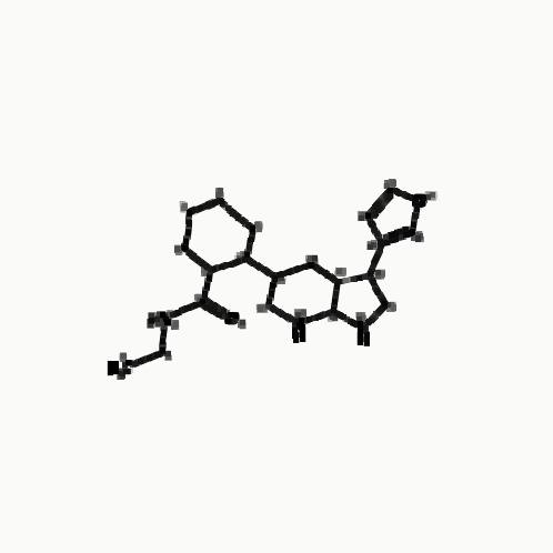 CCNC(=O)C1CCCCC1C1CNC2NCC(c3ccoc3)C2C1